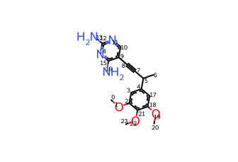 COc1cc(C(C)C#Cc2cnc(N)nc2N)cc(OC)c1OC